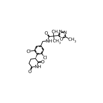 Cc1nnc(C(C)(C)C(=O)NCc2cc(Cl)c([C@@H]3CCC(=O)NC3=O)c(Cl)c2)o1